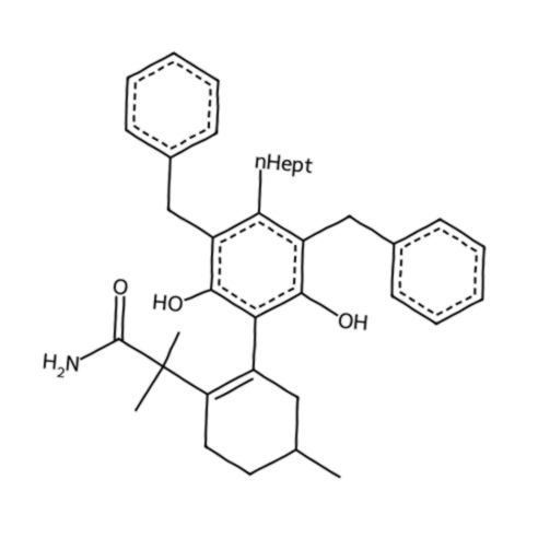 CCCCCCCc1c(Cc2ccccc2)c(O)c(C2=C(C(C)(C)C(N)=O)CCC(C)C2)c(O)c1Cc1ccccc1